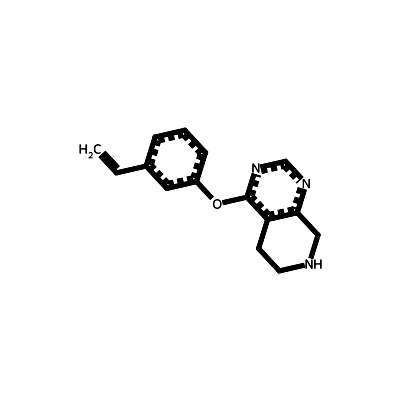 C=Cc1cccc(Oc2ncnc3c2CCNC3)c1